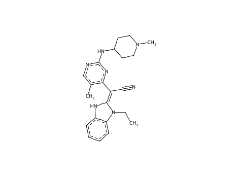 CCN1/C(=C(\C#N)c2nc(NC3CCN(C)CC3)ncc2C)Nc2ccccc21